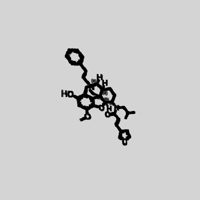 COc1cc(O)c2c3c1O[C@@H]1[C@H](N(CC(C)C)C(=O)C=Cc4ccoc4)CC[C@H]4[C@@H](C2)N(CCc2ccccc2)CC[C@]314